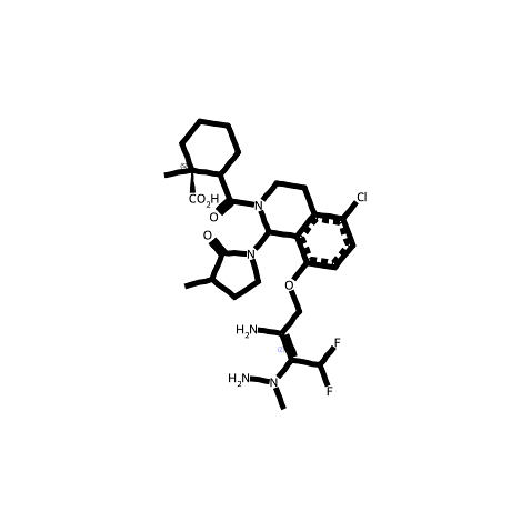 CC1CCN(C2c3c(OC/C(N)=C(\C(F)F)N(C)N)ccc(Cl)c3CCN2C(=O)C2CCCC[C@]2(C)C(=O)O)C1=O